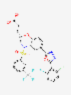 O=C(O)CC[C@H]1CN(S(=O)(=O)c2cccc(C(F)(F)F)c2)c2cc(-c3nnc(-c4c(F)cccc4Cl)o3)ccc2O1